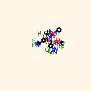 CC(CC#N)C[C@]1(c2ccc(-c3cnn(C(F)F)c3)cc2)NC(=NC(=O)OCc2ccccc2)N([C@H](COC(=O)NC2(C(F)(F)F)CC2)c2ccc(Cl)c(-n3ncnc3C(F)F)c2)C1=O